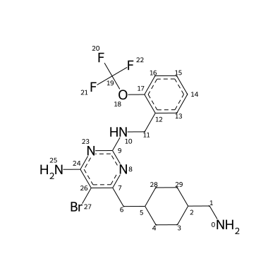 NCC1CCC(Cc2nc(NCc3ccccc3OC(F)(F)F)nc(N)c2Br)CC1